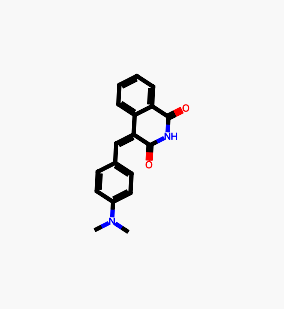 CN(C)c1ccc(/C=C2\C(=O)NC(=O)c3ccccc32)cc1